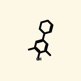 Cc1cc(C2C=CCCC2)cc(C)c1O